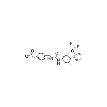 COC(=O)Cc1ccc(CNC(=O)Nc2cc(C)c(-c3ccccc3OC(F)F)c(C)c2)cc1